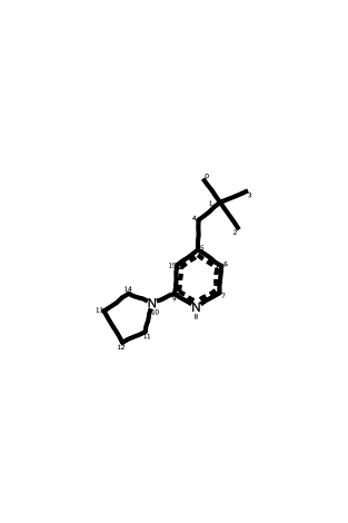 CC(C)(C)Cc1ccnc(N2CCCC2)c1